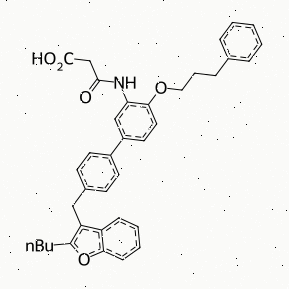 CCCCc1oc2ccccc2c1Cc1ccc(-c2ccc(OCCCc3ccccc3)c(NC(=O)CC(=O)O)c2)cc1